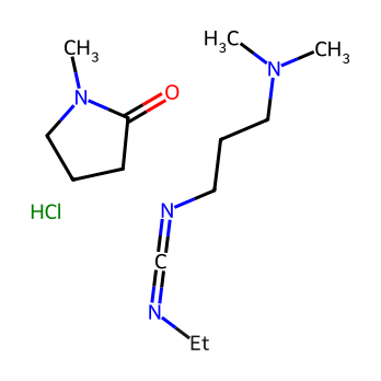 CCN=C=NCCCN(C)C.CN1CCCC1=O.Cl